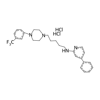 Cl.Cl.FC(F)(F)c1cccc(N2CCN(CCCCCNc3cc(-c4ccccc4)ccn3)CC2)c1